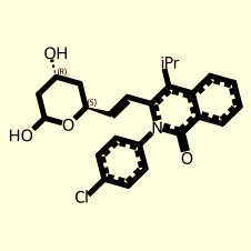 CC(C)c1c(C=C[C@@H]2C[C@@H](O)CC(O)O2)n(-c2ccc(Cl)cc2)c(=O)c2ccccc12